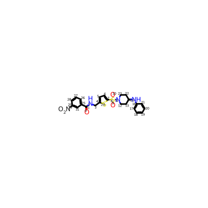 O=C(NCc1ccc(S(=O)(=O)N2CCC(Nc3ccccc3)CC2)s1)c1cccc([N+](=O)[O-])c1